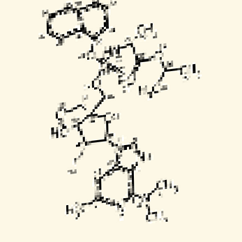 Cc1nc(N(C)C)c2ncn([C@@H]3O[C@](CCl)(CO[P@@](=S)(N[C@H](C)C(=O)OC(C)C)Oc4cccc5ccccc45)[C@@H](O)[C@H]3F)c2n1